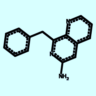 Nc1cc2cccnc2c(Cc2ccccc2)n1